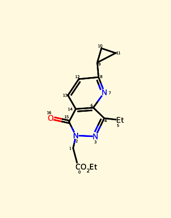 CCOC(=O)Cn1nc(CC)c2nc(C3CC3)ccc2c1=O